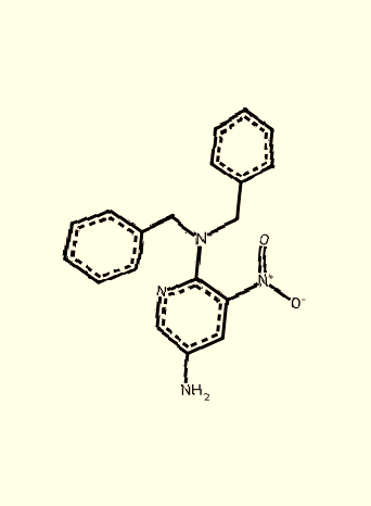 Nc1cnc(N(Cc2ccccc2)Cc2ccccc2)c([N+](=O)[O-])c1